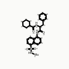 CC(C)(C)NS(=O)(=O)c1cccc2c(NC(=O)C(Cc3ccccc3)NC(=O)C3CCCCC3)cccc12